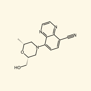 C[C@@H]1CN(c2ccc(C#N)c3nccnc23)C[C@H](CO)O1